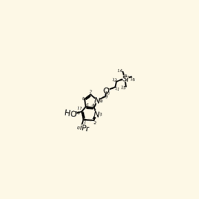 CC(C)c1cnc2c(ccn2COCC[Si](C)(C)C)c1O